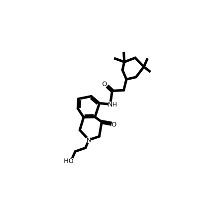 CC1(C)CC(CC(=O)Nc2cccc3c2C(=O)CN(CCO)C3)CC(C)(C)C1